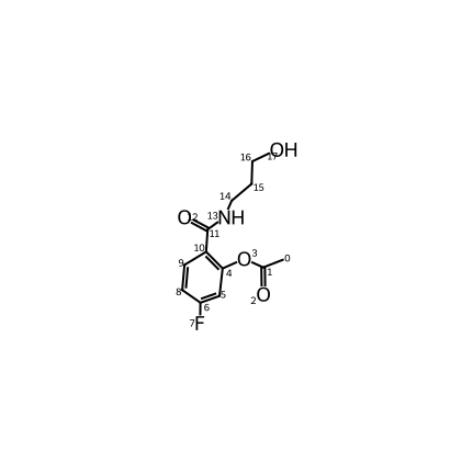 CC(=O)Oc1cc(F)ccc1C(=O)NCCCO